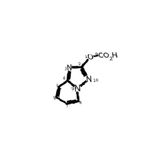 O=C(O)Oc1nc2ccccn2n1